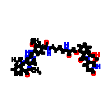 COc1cc(C(=O)NCCCCNC(=O)COc2cccc3c2C(=O)N(C2CCC(=O)NC2=O)C3O)ccc1Nc1ncc2c(n1)N(C)c1ccccc1C(=O)N2C